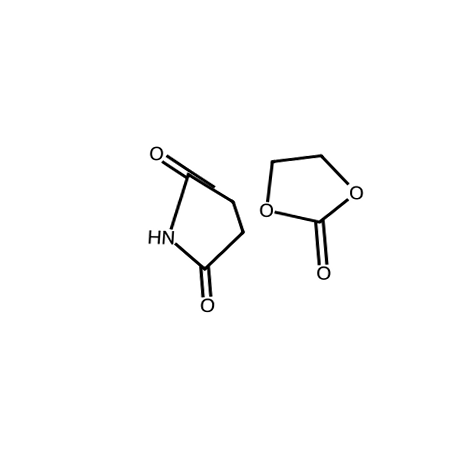 O=C1CCC(=O)N1.O=C1OCCO1